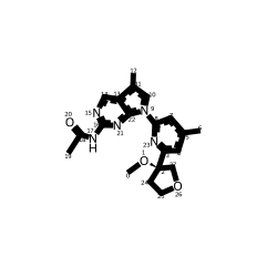 CO[C@@]1(c2cc(C)cc(-n3cc(C)c4cnc(NC(C)=O)nc43)n2)CCOC1